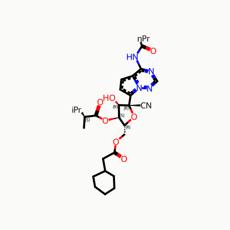 CCCC(=O)Nc1ncnn2c([C@]3(C#N)O[C@H](COC(=O)CC4CCCCC4)[C@@H](OC(=O)[C@@H](C)C(C)C)[C@H]3O)ccc12